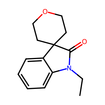 CCN1C(=O)C2(CCOCC2)c2ccccc21